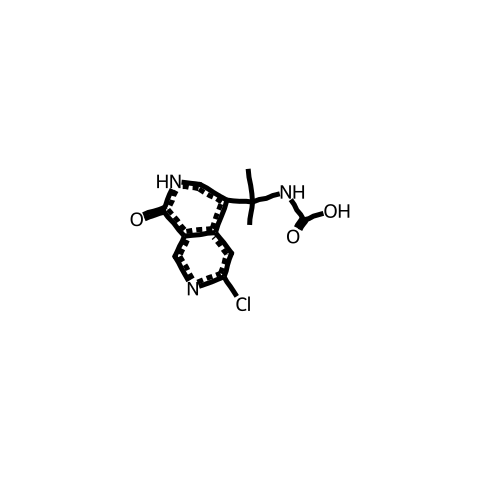 CC(C)(NC(=O)O)c1c[nH]c(=O)c2cnc(Cl)cc12